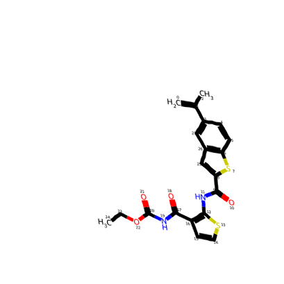 C=C(C)c1ccc2sc(C(=O)Nc3sccc3C(=O)NC(=O)OCC)cc2c1